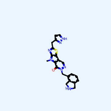 Cn1c2nc(Cc3cc[nH]n3)sc2c2cnn(Cc3cccc4c3CNC4)c(=O)c21